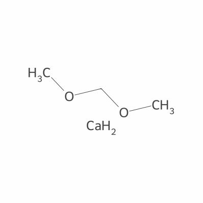 COCOC.[CaH2]